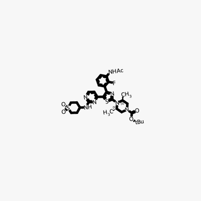 CC(=O)Nc1cccc(-c2nc(N3[C@@H](C)CN(C(=O)OC(C)(C)C)C[C@@H]3C)sc2-c2ccnc(NC3CCS(=O)(=O)CC3)n2)c1F